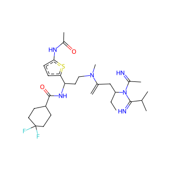 C=C(CC(CC)N(C(C)=N)C(=N)C(C)C)N(C)CCC(NC(=O)C1CCC(F)(F)CC1)c1ccc(NC(C)=O)s1